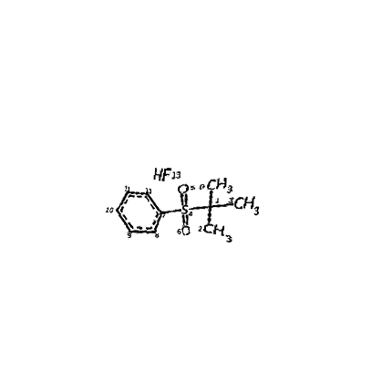 CC(C)(C)S(=O)(=O)c1ccccc1.F